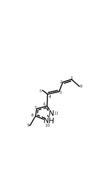 C/C=C\C=C(/C)c1cc(C)[nH]n1